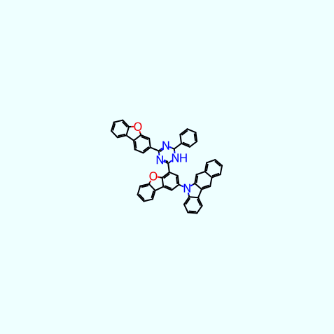 c1ccc(C2N=C(c3ccc4c(c3)oc3ccccc34)N=C(c3cc(-n4c5ccccc5c5cc6ccccc6cc54)cc4c3oc3ccccc34)N2)cc1